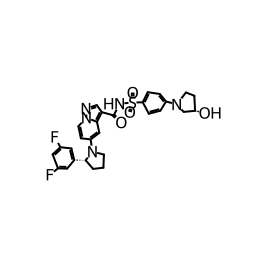 O=C(NS(=O)(=O)c1ccc(N2CC[C@H](O)C2)cc1)c1cnn2ccc(N3CCC[C@@H]3c3cc(F)cc(F)c3)cc12